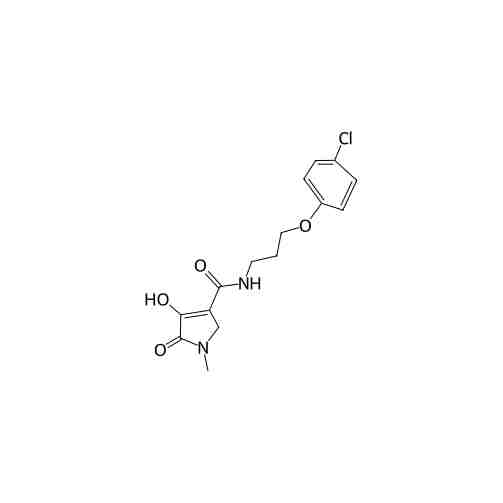 CN1CC(C(=O)NCCCOc2ccc(Cl)cc2)=C(O)C1=O